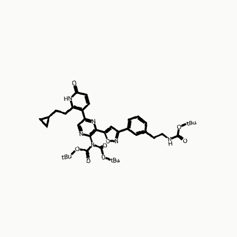 CC(C)(C)OC(=O)NCCc1cccc(-c2cc(-c3nc(-c4ccc(=O)[nH]c4CCC4CC4)cnc3N(C(=O)OC(C)(C)C)C(=O)OC(C)(C)C)on2)c1